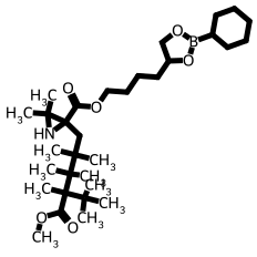 COC(=O)C(C)(C(C)(C)C)C(C)(C)C(C)(C)CC1(C(=O)OCCCCC2COB(C3CCCCC3)O2)NC1(C)C